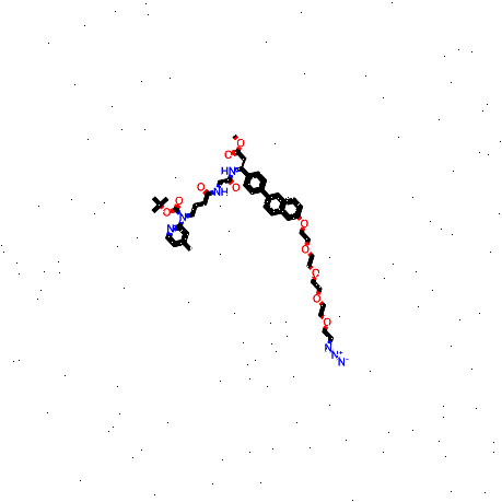 COC(=O)C[C@H](NC(=O)CNC(=O)CCCN(C(=O)OC(C)(C)C)c1cc(C)ccn1)c1ccc(-c2ccc3cc(OCCOCCOCCOCCOCCN=[N+]=[N-])ccc3c2)cc1